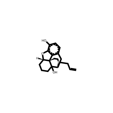 C=CCN1CC[C@]23c4c5ccc(O)c4O[C@H]2CCCC3(O)C1C5